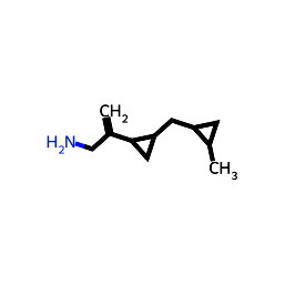 C=C(CN)C1CC1CC1CC1C